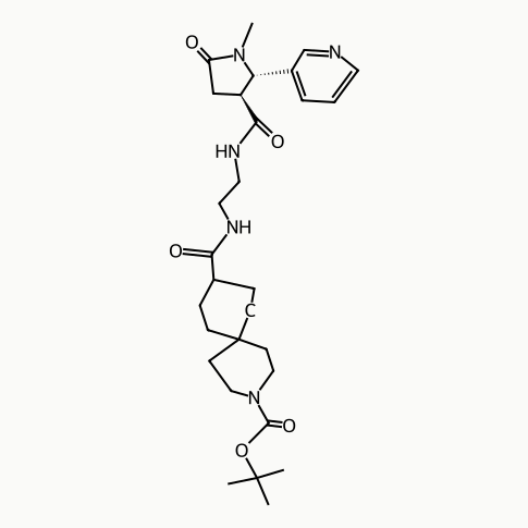 CN1C(=O)C[C@H](C(=O)NCCNC(=O)C2CCC3(CC2)CCN(C(=O)OC(C)(C)C)CC3)[C@H]1c1cccnc1